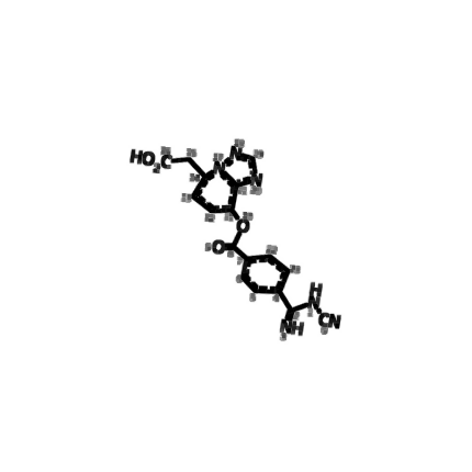 N#CNC(=N)c1ccc(C(=O)Oc2ccc(CC(=O)O)n3ncnc23)cc1